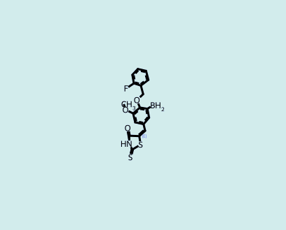 Bc1cc(/C=C2/SC(=S)NC2=O)cc(OC)c1OCc1ccccc1F